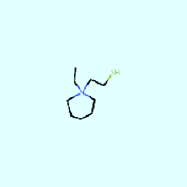 CC[N+]1(CCS)CCCCC1